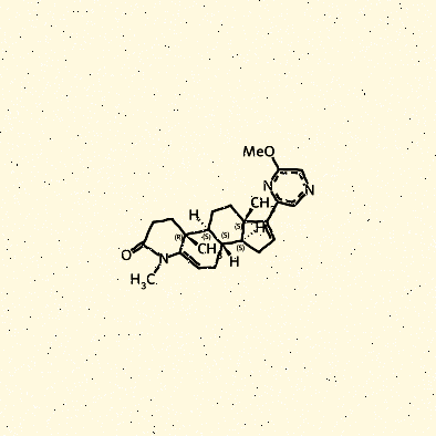 COc1cncc(C2=CC[C@H]3[C@@H]4CC=C5N(C)C(=O)CC[C@]5(C)[C@H]4CC[C@]23C)n1